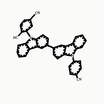 N#Cc1ccc(-n2c3ccccc3c3cc(-c4ccc5c(c4)c4ccccc4n5-c4cc(C#N)ccc4C#N)ccc32)cc1